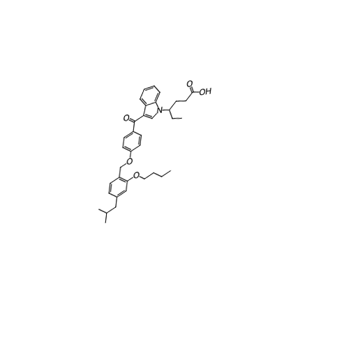 CCCCOc1cc(CC(C)C)ccc1COc1ccc(C(=O)c2cn(C(CC)CCC(=O)O)c3ccccc23)cc1